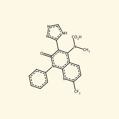 CN(C(=O)O)c1c(-c2nnc[nH]2)c(=O)n(-c2ccccc2)c2nc(C(F)(F)F)ccc12